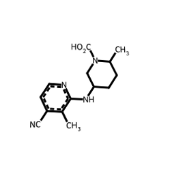 Cc1c(C#N)ccnc1NC1CCC(C)N(C(=O)O)C1